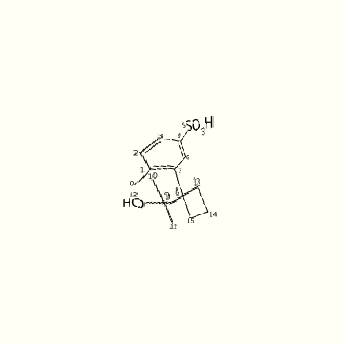 Cc1ccc(S(=O)(=O)O)cc1C1(C(C)(C)O)CCC1